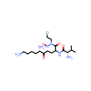 CC(C)[C@H](N)C(=O)NC(CCC(=O)[C@@H](N)CCCCN)C(=O)N(CCCl)N=O